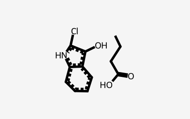 CCCC(=O)O.Oc1c(Cl)[nH]c2ccccc12